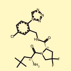 CC(C)(C)C[C@@H](N)C(=O)N1CC(F)(F)C[C@H]1C(=O)NCc1cc(Cl)ccc1-n1cnnn1